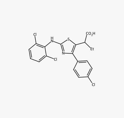 CCC(C(=O)O)c1sc(Nc2c(Cl)cccc2Cl)nc1-c1ccc(Cl)cc1